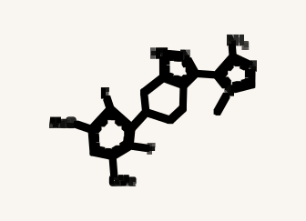 COc1cc(OC)c(F)c(C2CCc3c(-c4c(N)ncn4C)n[nH]c3C2)c1F